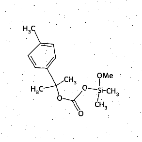 CO[Si](C)(C)OC(=O)OC(C)(C)c1ccc(C)cc1